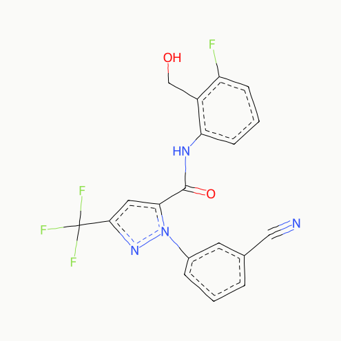 N#Cc1cccc(-n2nc(C(F)(F)F)cc2C(=O)Nc2cccc(F)c2CO)c1